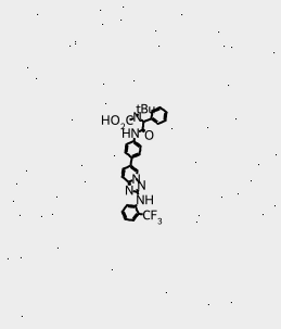 CC(C)(C)N(C(=O)O)C(C(=O)Nc1ccc(-c2ccc3nc(Nc4ccccc4C(F)(F)F)nn3c2)cc1)c1ccccc1